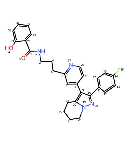 O=C(NCCCc1cc(-c2c(-c3ccc(F)cc3)nn3c2CCCC3)ccn1)c1ccccc1O